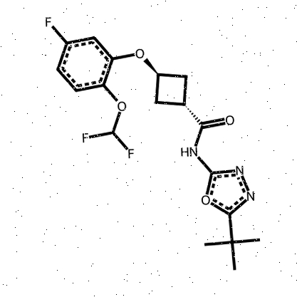 CC(C)(C)c1nnc(NC(=O)[C@H]2C[C@H](Oc3cc(F)ccc3OC(F)F)C2)o1